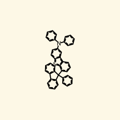 c1ccc(N(c2ccccc2)c2ccc3sc4c(C5(c6ccccc6)c6ccccc6-c6ccccc65)cccc4c3c2)cc1